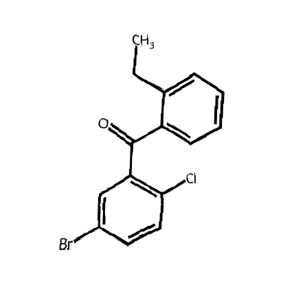 CCc1ccccc1C(=O)c1cc(Br)ccc1Cl